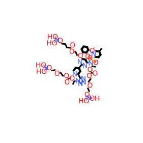 COc1ccccc1Oc1c(OCCOC(=O)CCCON(O)O)nc(-c2ccnc(-c3nnnn3C(C)OC(=O)OCCOCCON(O)O)c2)nc1N(C(C)OC(=O)OCCOCCON(O)O)S(=O)(=O)c1ccc(C)cn1